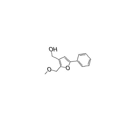 COCc1oc(-c2ccccc2)cc1CO